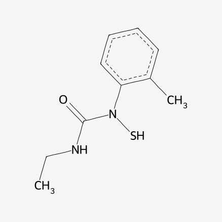 CCNC(=O)N(S)c1ccccc1C